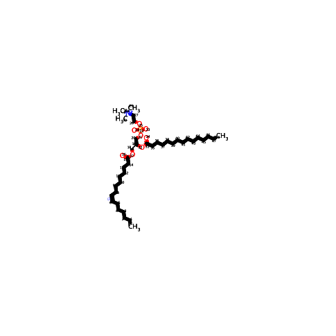 CCCCCC/C=C\CCCCCCCC(=O)OC[C@H](COP(=O)([O-])OCC[N+](C)(C)C)OC(=O)CCCCCCCCCCCCCC